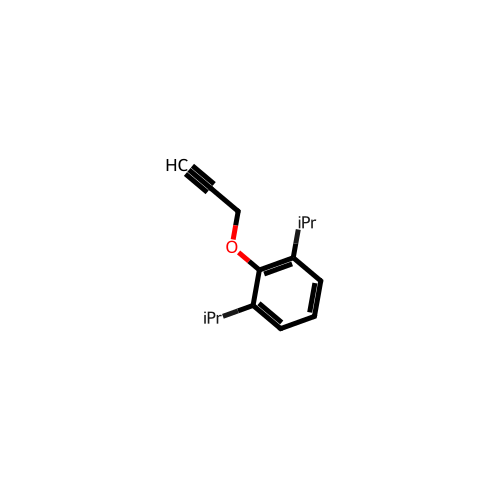 C#CCOc1c(C(C)C)cccc1C(C)C